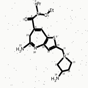 CCCN(OCC)C(=O)C1=Cc2sc(CN3CCC(N)C3)cc2N=C(N)C1